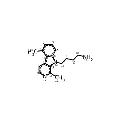 Cc1cccc2c1c1ccnc(C)c1n2CCCCN